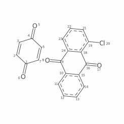 O=C1C=CC(=O)C=C1.O=C1c2ccccc2C(=O)c2c(Cl)cccc21